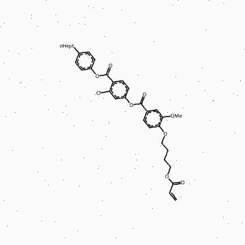 C=CC(=O)OCCCCOc1ccc(C(=O)Oc2ccc(C(=O)Oc3ccc(CCCCCCC)cc3)c(Cl)c2)cc1OC